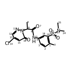 Cc1ccc(NC(=O)C(C)n2ncc(Cl)cc2=O)cc1S(=O)(=O)N(C)C